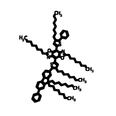 CCCCCCCCc1nc2c(-c3cc(CCCCCCCC)c(-c4ccc5c(c4)C(CCCCCCCC)(CCCCCCCC)c4cc(-c6ccccc6)ccc4-5)s3)c3oc(CCCCCCCC)nc3c(-c3cc(CCCCCCCC)c(-c4ccccc4)s3)c2o1